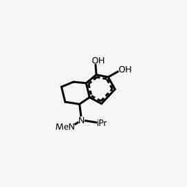 CNN(C(C)C)C1CCCc2c1ccc(O)c2O